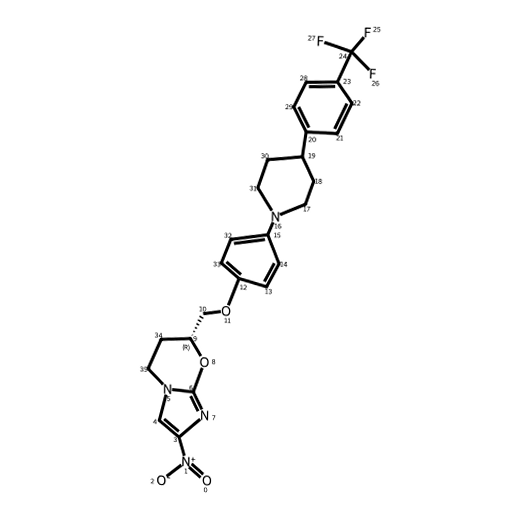 O=[N+]([O-])c1cn2c(n1)O[C@@H](COc1ccc(N3CCC(c4ccc(C(F)(F)F)cc4)CC3)cc1)CC2